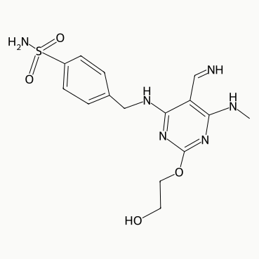 CNc1nc(OCCO)nc(NCc2ccc(S(N)(=O)=O)cc2)c1C=N